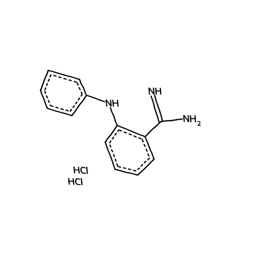 Cl.Cl.N=C(N)c1ccccc1Nc1ccccc1